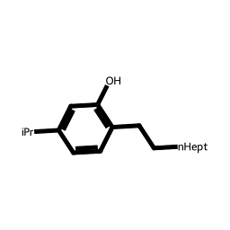 CCCCCCCCCc1ccc(C(C)C)cc1O